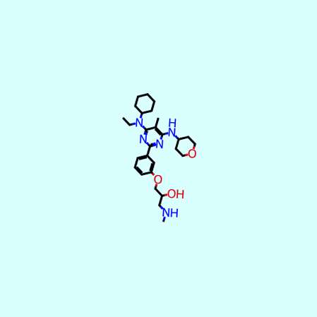 CCN(c1nc(-c2cccc(OCC(O)CNC)c2)nc(NC2CCOCC2)c1C)C1CCCCC1